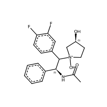 CC(=O)N[C@@H](c1ccccc1)C(c1ccc(F)c(F)c1)[N+]1(O)CC[C@H](O)C1